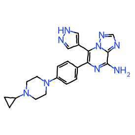 Nc1nc(-c2ccc(N3CCN(C4CC4)CC3)cc2)c(-c2cn[nH]c2)n2ncnc12